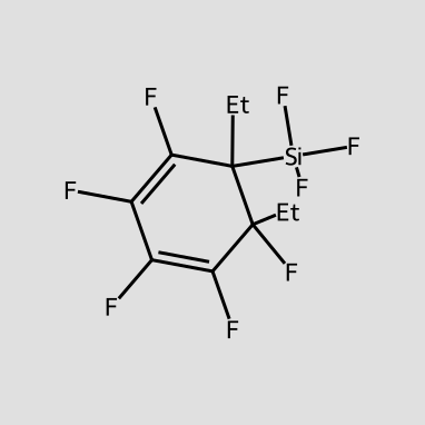 CCC1(F)C(F)=C(F)C(F)=C(F)C1(CC)[Si](F)(F)F